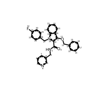 O=C(NCc1cccnc1)c1c(OCc2ccccc2)c2ccccc2n1Cc1ccc(F)cc1